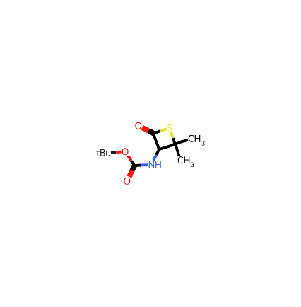 CC(C)(C)OC(=O)NC1C(=O)SC1(C)C